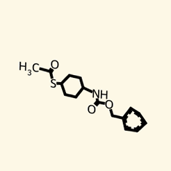 CC(=O)SC1CCC(NC(=O)OCc2ccccc2)CC1